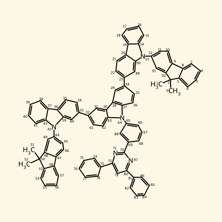 CC1(C)c2ccccc2-c2ccc(-n3c4ccccc4c4ccc(-c5ccc6c(c5)c5cc(-c7ccc8c9ccccc9n(-c9ccc%10c(c9)C(C)(C)c9ccccc9-%10)c8c7)ccc5n6-c5cccc(-c6nc(-c7ccccc7)cc(-c7ccccc7)n6)c5)cc43)cc21